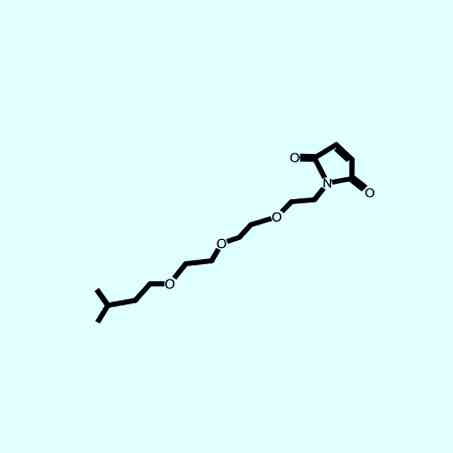 CC(C)CCOCCOCCOCCN1C(=O)C=CC1=O